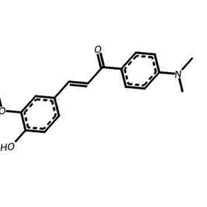 COc1cc(C=CC(=O)c2ccc(N(C)C)cc2)ccc1O